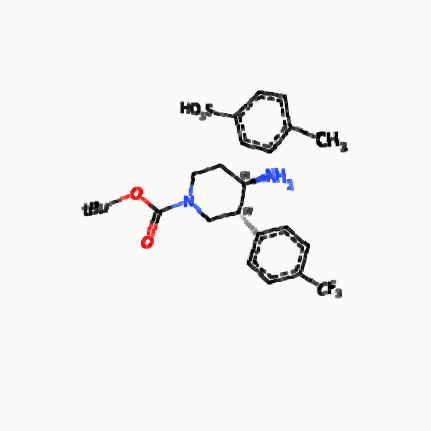 CC(C)(C)OC(=O)N1CC[C@@H](N)[C@H](c2ccc(C(F)(F)F)cc2)C1.Cc1ccc(S(=O)(=O)O)cc1